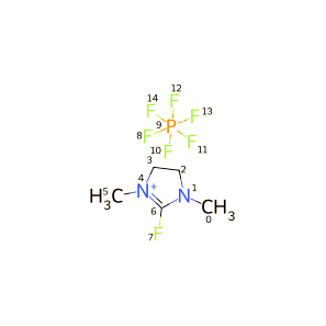 CN1CC[N+](C)=C1F.F[P-](F)(F)(F)(F)F